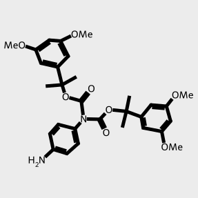 COc1cc(OC)cc(C(C)(C)OC(=O)N(C(=O)OC(C)(C)c2cc(OC)cc(OC)c2)c2ccc(N)cc2)c1